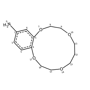 Nc1ccc2c(c1)OCCOCCCOCCO2